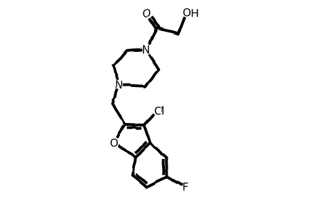 O=C(CO)N1CCN(Cc2oc3ccc(F)cc3c2Cl)CC1